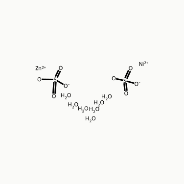 O.O.O.O.O.O.O.O=S(=O)([O-])[O-].O=S(=O)([O-])[O-].[Ni+2].[Zn+2]